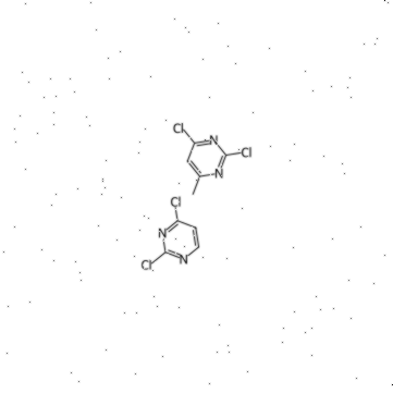 Cc1cc(Cl)nc(Cl)n1.Clc1ccnc(Cl)n1